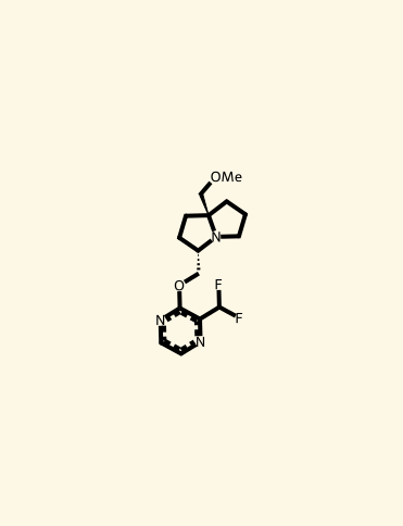 COC[C@@]12CCCN1[C@H](COc1nccnc1C(F)F)CC2